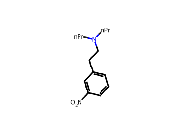 CCCN(CCC)CCc1cccc([N+](=O)[O-])c1